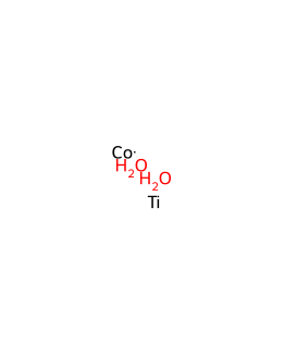 O.O.[Co].[Ti]